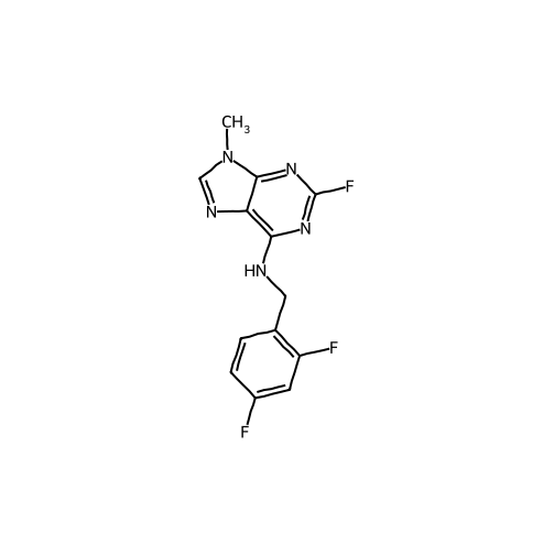 Cn1cnc2c(NCc3ccc(F)cc3F)nc(F)nc21